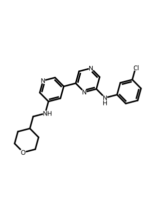 Clc1cccc(Nc2cncc(-c3cncc(NCC4CCOCC4)c3)n2)c1